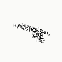 CN1CCN(C2CCN(c3ccc(Nc4nc(NC5CC5)c(-c5ccncc5)nc4C(N)=O)cc3)CC2)CC1